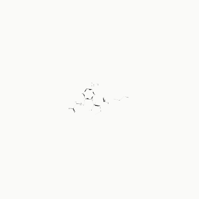 CCCCOC(=O)C1=C(c2ccccc2NCC(=O)O)CCC1.[NaH]